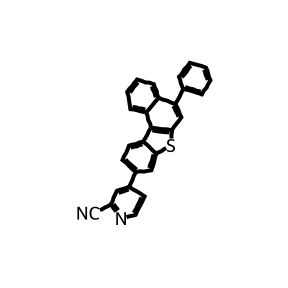 N#Cc1cc(-c2ccc3c(c2)sc2cc(-c4ccccc4)c4ccccc4c23)ccn1